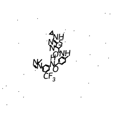 Cc1ccc(C(=O)Nc2cc(-n3ccnc3C)cc(C(F)(F)F)c2)cc1NC(=O)C1CSc2c(NC3CC3)ncnc21